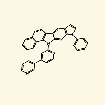 c1ccc(-n2ccc3cc4c5ccc6ccccc6c5n(-c5cc(-c6cccnc6)ccn5)c4cc32)cc1